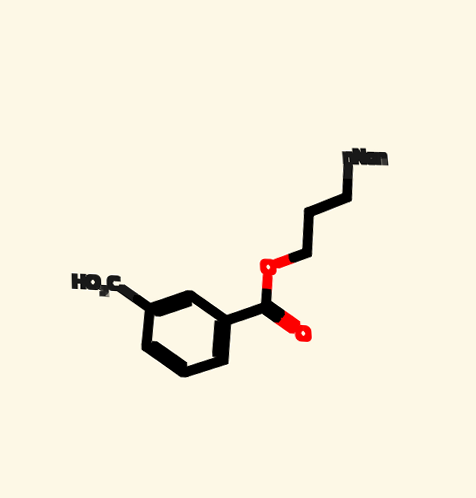 CCCCCCCCCCCCOC(=O)c1cccc(C(=O)O)c1